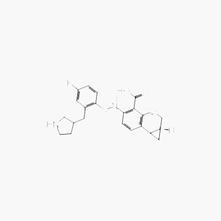 O=C(O)c1c(NSc2ccc(F)cc2CC2CCNC2)ccc2c1OC[C@@H]1CC21